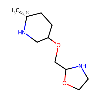 C[C@@H]1CCC(OCC2NCCO2)CN1